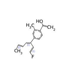 C=C(O)c1ccc(C(/C=C/F)=C/C=C/C)cc1C